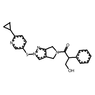 O=C(C(CO)c1ccccc1)N1Cc2cn(Sc3ccc(C4CC4)nc3)nc2C1